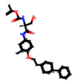 C=C(C)OC(=O)N[C@@](C)(CO)C(=O)Nc1ccc(OCCc2ccc(-c3ccccc3)cc2)c(C)c1